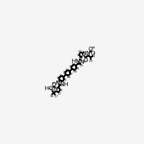 COC(=O)N[C@H](C(=O)N1CCC[C@H]1c1ncc(-c2ccc(-c3ccc(-c4ccc5nc(C6CCC(C(C)(C)C)N6C(=O)O)[nH]c5c4)cc3)cc2)[nH]1)C(C)C